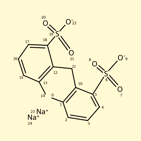 Cc1cccc(S(=O)(=O)[O-])c1Cc1c(C)cccc1S(=O)(=O)[O-].[Na+].[Na+]